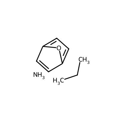 CCC.N.c1cc2ccc1o2